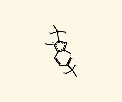 C=C(/C=C\c1c(C)cc(C(C)(C)C)n1C)C(C)(C)C